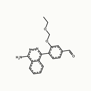 CCOCOc1cc(C=O)ccc1-c1nnc(N)c2ccccc12